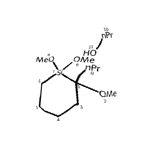 CCCC1(OC)CCCC[Si]1(OC)OC.CCCO